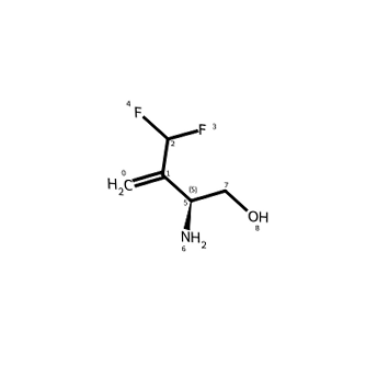 C=C(C(F)F)[C@H](N)CO